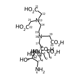 CC(=O)O.CC(=O)O.CC(=O)O.NCC(N)O.O=C(O)CN(CCN(CC(=O)O)CC(=O)O)CC(=O)O